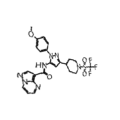 COc1ccc(-n2nc(C3CCN(S(=O)(=O)C(F)(F)F)CC3)cc2NC(=O)c2cnn3cccnc23)cc1